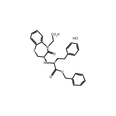 Cl.O=C(O)CN1C(=O)[C@@H](N[C@@H](CCc2ccccc2)C(=O)OCc2ccccc2)CSc2ccccc21